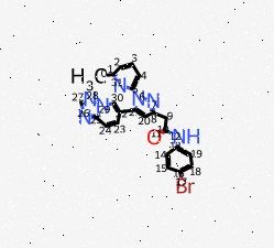 Cc1cccc(-n2nc(CC(=O)Nc3ccc(Br)cc3)cc2-c2ccc3ncnn3c2)n1